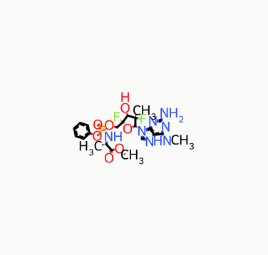 CNc1nc(N)nc2c1ncn2[C@@H]1O[C@](F)(CO[P@@](=O)(N[C@@H](C)C(=O)OC)Oc2ccccc2)[C@@H](O)[C@@]1(C)F